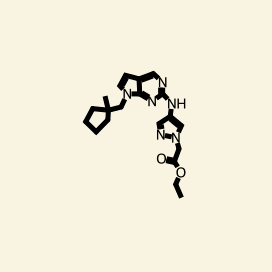 CCOC(=O)Cn1cc(Nc2ncc3ccn(CC4(C)CCCC4)c3n2)cn1